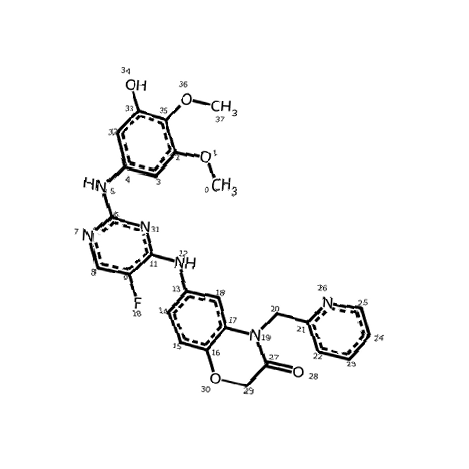 COc1cc(Nc2ncc(F)c(Nc3ccc4c(c3)N(Cc3ccccn3)C(=O)CO4)n2)cc(O)c1OC